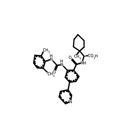 Cc1cccc(C)c1NC(=O)Nc1cc(-c2cccnc2)ccc1C(=O)N[C@H](C(=O)O)C1(C)CCCCC1